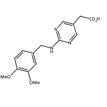 COc1ccc(CNc2ncc(CC(=O)O)cn2)cc1OC